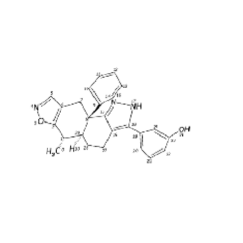 C[C@@H]1c2oncc2C[C@]2(c3ccccc3)c3n[nH]c(-c4cccc(O)c4)c3CC[C@@H]12